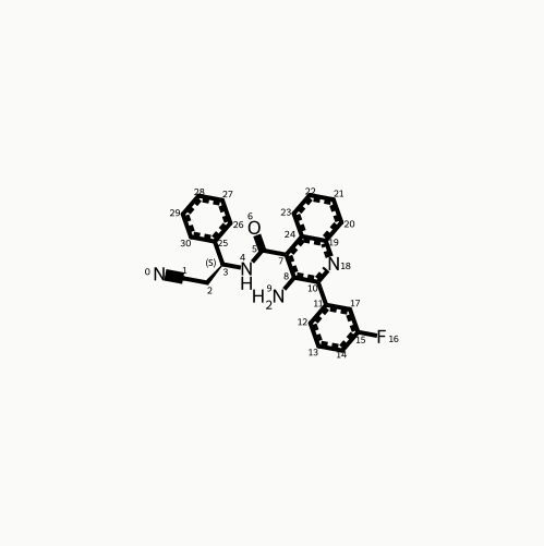 N#CC[C@H](NC(=O)c1c(N)c(-c2cccc(F)c2)nc2ccccc12)c1ccccc1